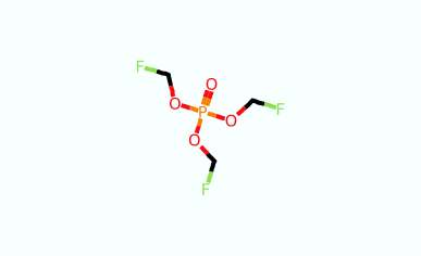 O=P(OCF)(OCF)OCF